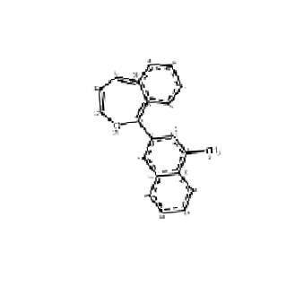 Cc1nc(C2=c3ccccc3=CC=CO2)cc2ccccc12